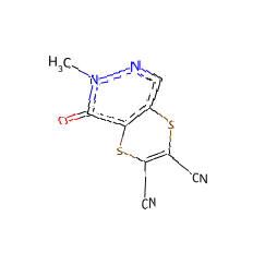 Cn1ncc2c(c1=O)SC(C#N)=C(C#N)S2